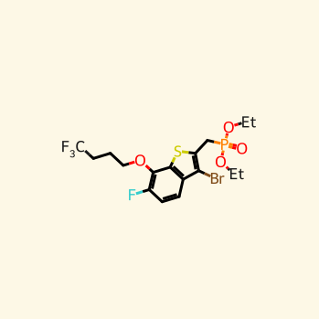 CCOP(=O)(Cc1sc2c(OCCCC(F)(F)F)c(F)ccc2c1Br)OCC